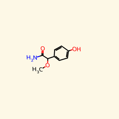 COC(C(N)=O)c1ccc(O)cc1